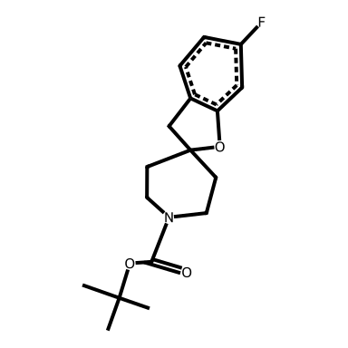 CC(C)(C)OC(=O)N1CCC2(CC1)Cc1ccc(F)cc1O2